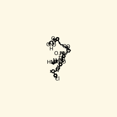 CC1(C)CCC(CN2CCN(c3ccc(C(=O)NS(=O)(=O)c4ccc(NCC5CCCN(C(=O)COCCCC#Cc6cccc7c6CN(C6CCC(=O)NC6=O)C7=O)C5)c([N+](=O)[O-])c4)c(Oc4cnc5[nH]ccc5c4)c3)CC2)=C(c2ccc(Cl)cc2)C1